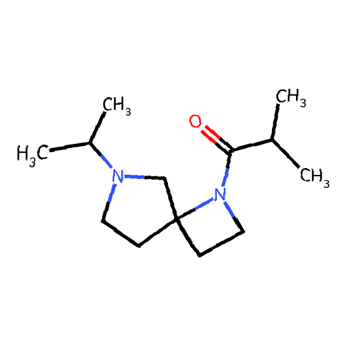 CC(C)C(=O)N1CCC12CCN(C(C)C)C2